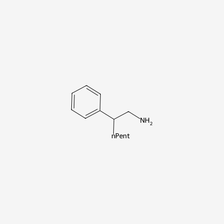 CCC[CH]CC(CN)c1ccccc1